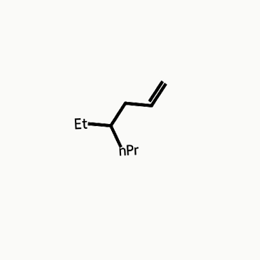 C=CCC(CC)CCC